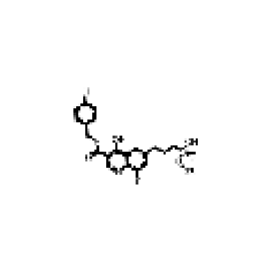 CC(C)(C)OP(=O)(O)CCCc1cc(F)c2ncc(C(=O)NCc3ccc(Cl)cc3)c(O)c2c1